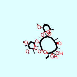 CC[C@H]1OC(=O)[C@H](C)[C@@H](O[C@H]2C[C@@](C)(OC)[C@@H](OC)[C@H](C)O2)[C@H](C)[C@@H](O[C@@H]2O[C@H](C)C=C[C@H]2OC)[C@](C)(OC)C[C@@H](C)C(=O)[C@H](C)[C@@H](O)[C@]1(C)O